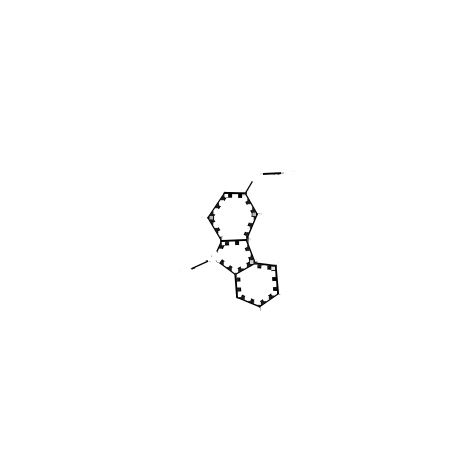 CCn1c2ccccc2c2cc(OC(C)C)ccc21